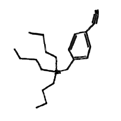 CCC[CH2][Sn]([CH2]CCC)([CH2]CCC)[CH2]c1ccc(C#N)cc1